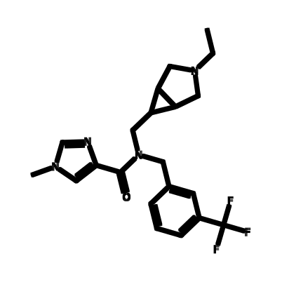 CCN1CC2C(C1)C2CN(Cc1cccc(C(F)(F)F)c1)C(=O)c1cn(C)cn1